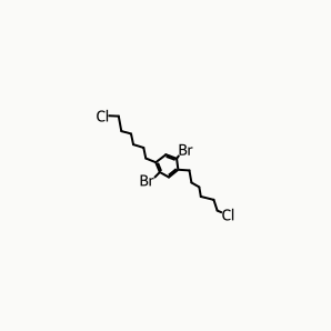 ClCCCCCCc1cc(Br)c(CCCCCCCl)cc1Br